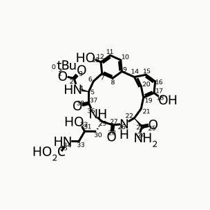 CC(C)(C)OC(=O)N[C@H]1Cc2cc(ccc2O)-c2ccc(O)c(c2)C[C@@H](C(N)=O)NC(=O)[C@H](CC(O)CNC(=O)O)NC1=O